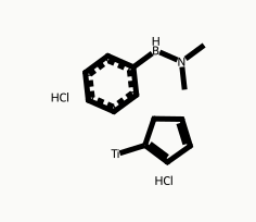 CN(C)Bc1ccccc1.Cl.Cl.[Ti][C]1=CC=CC1